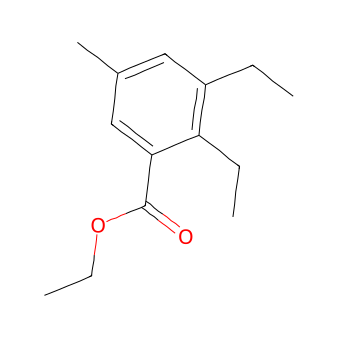 CCOC(=O)c1cc(C)cc(CC)c1CC